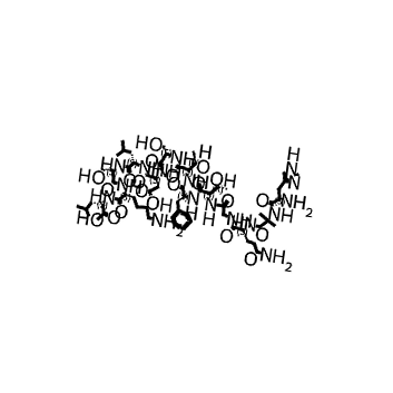 CC(C)C[C@H](NC(=O)[C@H](CCCCN)NC(=O)[C@H](CO)NC(=O)[C@H](CC(C)C)NC(=O)[C@H](CC(=O)O)NC(=O)[C@H](CO)NC(=O)[C@@H](NC(=O)[C@H](Cc1ccccc1)NC(=O)[C@@H](NC(=O)CNC(=O)[C@H](CCC(N)=O)NC(=O)C(C)(C)NC(=O)[C@@H](N)Cc1c[nH]cn1)[C@@H](C)O)[C@@H](C)O)C(=O)O